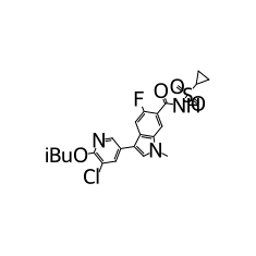 CC(C)COc1ncc(-c2cn(C)c3cc(C(=O)NS(=O)(=O)C4CC4)c(F)cc23)cc1Cl